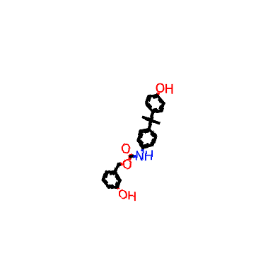 CC(C)(c1ccc(O)cc1)c1ccc(NC(=O)OCc2cccc(O)c2)cc1